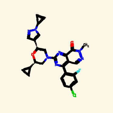 Cn1ncc2c(-c3ccc(Cl)cc3F)nc(N3C[C@@H](c4cnn(C5CC5)c4)O[C@@H](C4CC4)C3)nc2c1=O